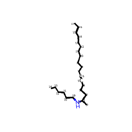 [CH2]C(CCCCCCCCCCCCCCCC)NCCCCCC